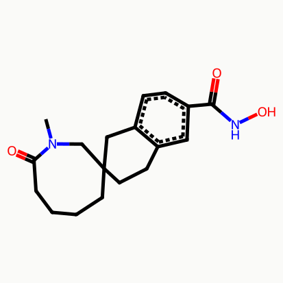 CN1CC2(CCCCC1=O)CCc1cc(C(=O)NO)ccc1C2